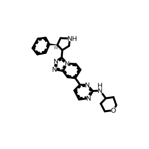 c1ccc([C@H]2CNCC2c2nnc3cc(-c4ccnc(NC5CCOCC5)n4)ccn23)cc1